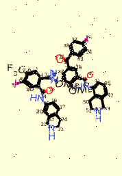 CON1N=C1c1cc(C(F)(F)F)c(I)cc1C(=O)Nc1ccc2c(c1)CNCC2.COc1ccc(C(=O)c2ccc(I)cc2)cc1C(=O)Nc1cccc2c1CCNC2